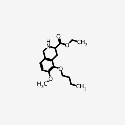 CCCCOc1c(OC)ccc2c1CC(C(=O)OCC)NC2